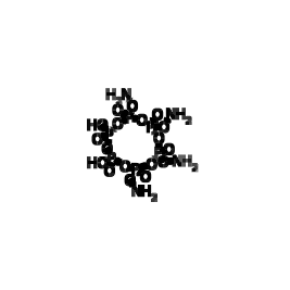 NOP1(=O)OP(=O)(O)OP(=O)(O)OP(=O)(ON)OP(=O)(ON)OP(=O)(ON)O1